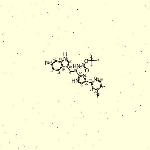 CC(C)(C)OC(=O)N[C@H](Cc1c[nH]c2cc(F)ccc12)c1nc(-c2cc(F)ccn2)c[nH]1